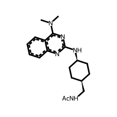 CC(=O)NC[C@H]1CC[C@@H](Nc2nc(N(C)C)c3ccccc3n2)CC1